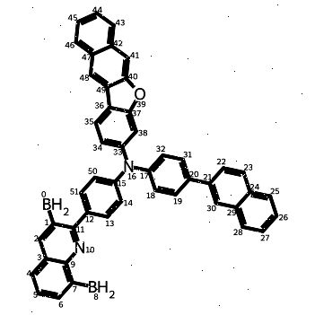 Bc1cc2cccc(B)c2nc1-c1ccc(N(c2ccc(-c3ccc4ccccc4c3)cc2)c2ccc3c(c2)oc2cc4ccccc4cc23)cc1